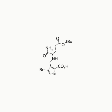 CC(C)(C)OC(=O)CCC(NCc1c(Br)csc1C(=O)O)C(N)=O